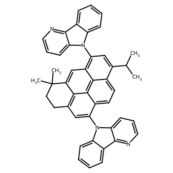 CC(C)c1cc(-n2c3ccccc3c3ncccc32)c2cc3c4c(cc(-n5c6ccccc6c6ncccc65)c5ccc1c2c54)CCC3(C)C